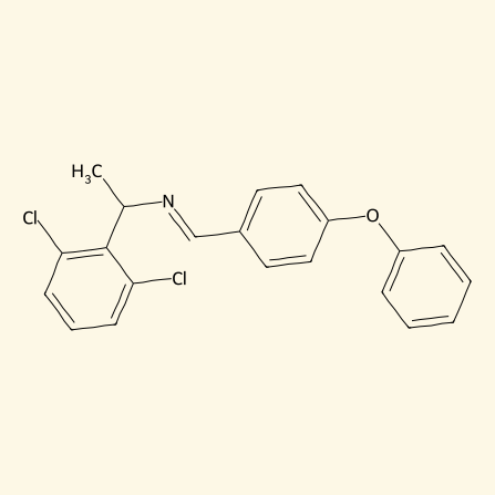 CC(N=Cc1ccc(Oc2ccccc2)cc1)c1c(Cl)cccc1Cl